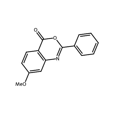 COc1ccc2c(=O)oc(-c3ccccc3)nc2c1